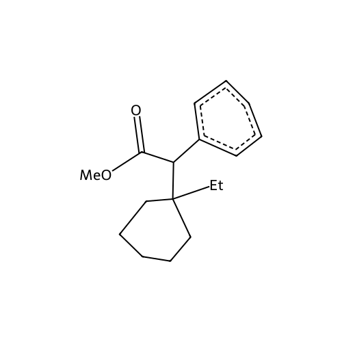 CCC1(C(C(=O)OC)c2ccccc2)CCCCC1